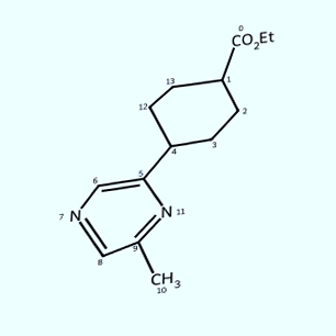 CCOC(=O)C1CCC(c2cncc(C)n2)CC1